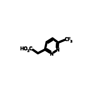 O=C(O)Cc1ccc(C(F)(F)F)nn1